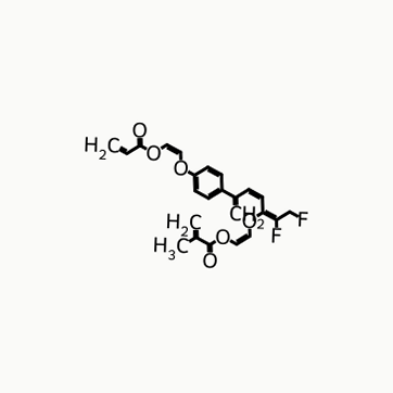 C=CC(=O)O/C=C\Oc1ccc(C(=C)/C=C\C(O/C=C\OC(=O)C(=C)C)=C(\F)CF)cc1